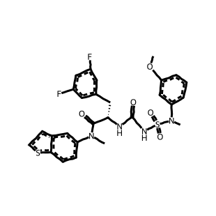 COc1cccc(N(C)S(=O)(=O)NC(=O)N[C@@H](Cc2cc(F)cc(F)c2)C(=O)N(C)c2ccc3sccc3c2)c1